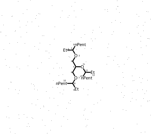 CCCCCC(CC)OCC(COC(CC)CCCCC)OC(CC)CCCCC